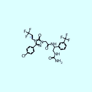 NC(=O)NCC(NC(=O)Cn1nc(-c2ccc(Cl)cc2)n(/C=C/C(F)(F)F)c1=O)c1cccc(C(F)(F)F)c1